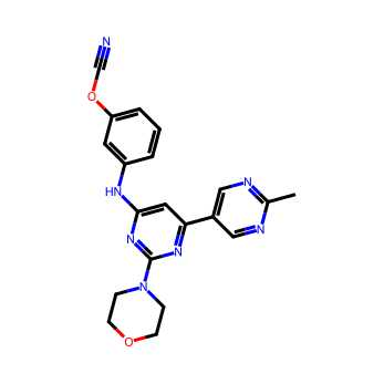 Cc1ncc(-c2cc(Nc3cccc(OC#N)c3)nc(N3CCOCC3)n2)cn1